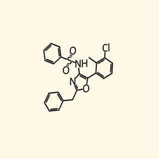 Cc1c(Cl)cccc1-c1oc(Cc2ccccc2)nc1NS(=O)(=O)c1ccccc1